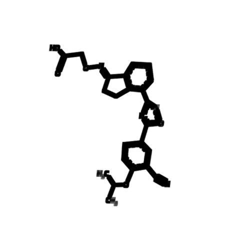 CC(C)Oc1ccc(-c2nc(-c3cccc4c3CCC4=NOCC(=O)O)no2)cc1C#N